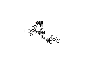 CC[C@H]1OC(=O)[C@H](C)[C@@H](O[C@H]2C[C@@](C)(OC)[C@@H](O)[C@H](C)O2)[C@H](C)[C@@H](O[C@H]2C[C@@H](N(C)CCc3cn([C@H](CF)[C@H](OC)c4ccc(NC(C)=O)cc4)nn3)C[C@@H](C)O2)[C@](C)(O)C[C@@H](C)CN(C)[C@H](C)[C@@H](O)[C@]1(C)O